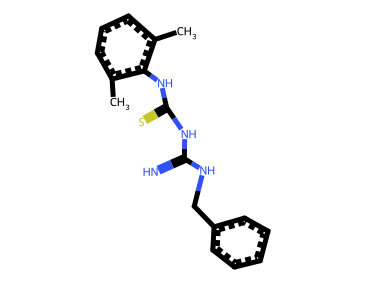 Cc1cccc(C)c1NC(=S)NC(=N)NCc1ccccc1